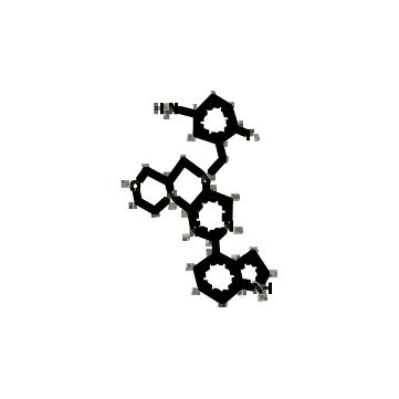 Nc1ccc(F)c(CN2CC3COCCN3c3nc(-c4cccc5[nH]ccc45)ncc32)c1